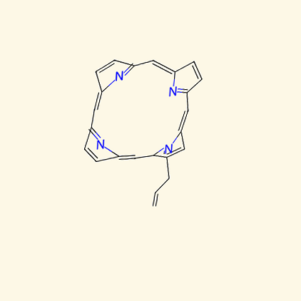 C=CCC1=CC2=CC3=NC(=CC4=NC(=CC5=NC(=CC1=N2)C=C5)C=C4)C=C3